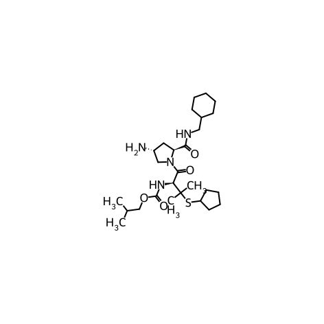 CC(C)COC(=O)N[C@@H](C(=O)N1C[C@H](N)C[C@H]1C(=O)NCC1CCCCC1)C(C)(C)SC1CCCC1